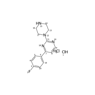 Cl.Cl.Fc1ccc(-c2ccnc(N3CCNCC3)n2)cc1